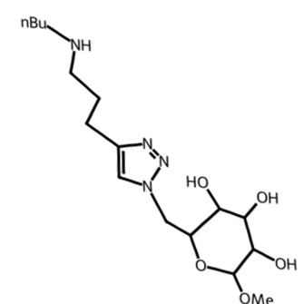 CCCCNCCCc1cn(CC2OC(OC)C(O)C(O)C2O)nn1